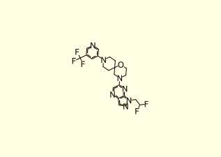 FC(F)Cn1ncc2ncc(N3CCOC4(CCN(c5cncc(C(F)(F)F)c5)CC4)C3)nc21